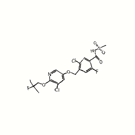 CC(C)(F)COc1ncc(OCc2cc(F)c(C(=O)NS(C)(=O)=O)cc2Cl)cc1Cl